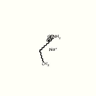 CCCCCCCC/C=C\CCCCCCCC(=O)CC(CN)S(=O)(=O)[O-].[Na+]